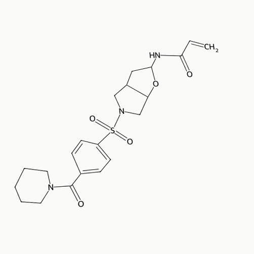 C=CC(=O)NC1CC2CN(S(=O)(=O)c3ccc(C(=O)N4CCCCC4)cc3)CC2O1